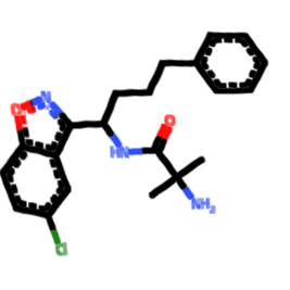 CC(C)(N)C(=O)NC(CCCc1ccccc1)c1noc2ccc(Cl)cc12